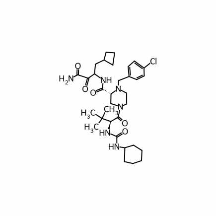 CC(C)(C)[C@H](NC(=O)NC1CCCCC1)C(=O)N1CCN(Cc2ccc(Cl)cc2)[C@@H](C(=O)NC(CC2CCC2)C(=O)C(N)=O)C1